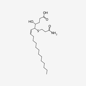 CCCCCCCCCCCC/C=C\C(SCCC(N)=O)C(O)CCC(=O)O